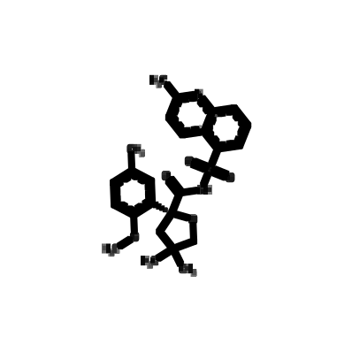 COc1ccc(C)cc1[C@@]1(C(=O)NS(=O)(=O)c2cccc3nc(C)ccc23)CC(C)(C)CO1